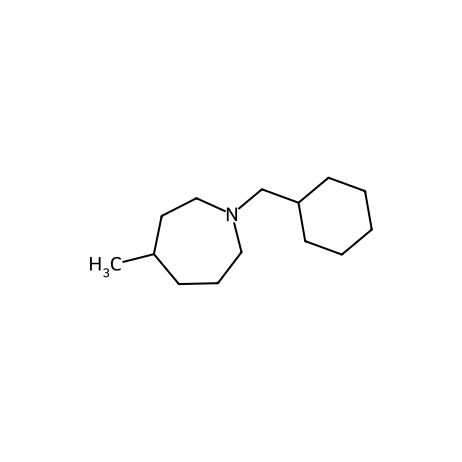 CC1CCCN(CC2CCCCC2)CC1